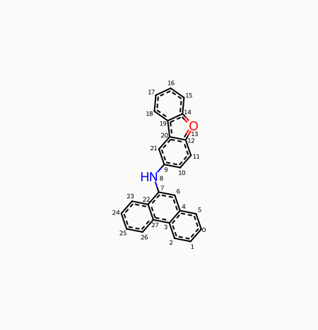 c1ccc2c(c1)cc(Nc1ccc3oc4ccccc4c3c1)c1ccccc12